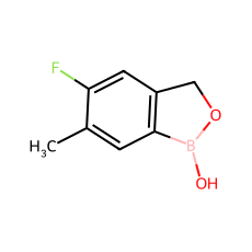 Cc1cc2c(cc1F)COB2O